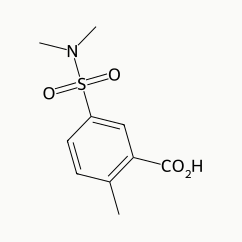 Cc1ccc(S(=O)(=O)N(C)C)cc1C(=O)O